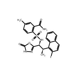 Cc1ccc(S(=O)(=O)N[C@H](c2n[nH]c(=O)o2)[C@H](C)c2c(F)ccc3ccccc23)c(C(N)=O)c1